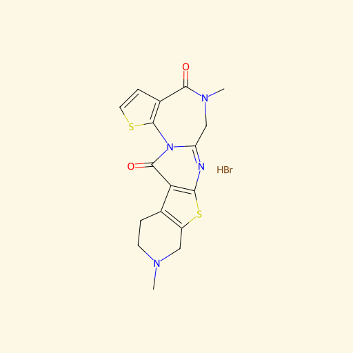 Br.CN1CCc2c(sc3nc4n(c(=O)c23)-c2sccc2C(=O)N(C)C4)C1